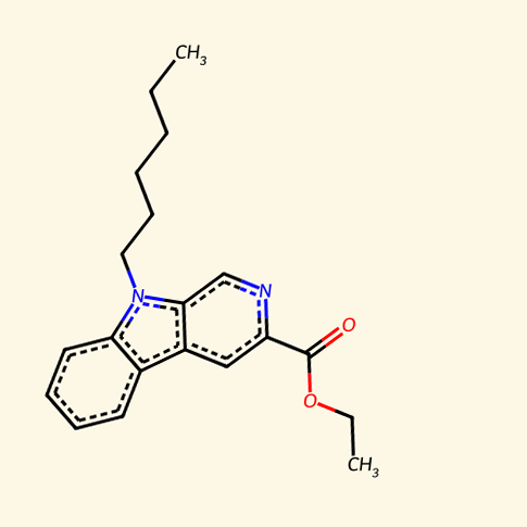 CCCCCCn1c2ccccc2c2cc(C(=O)OCC)ncc21